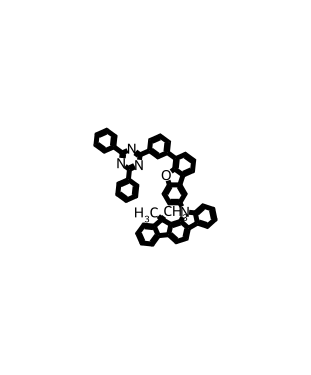 CC1(C)c2ccccc2-c2ccc3c4ccccc4n(-c4ccc5oc6c(-c7cccc(-c8nc(-c9ccccc9)nc(-c9ccccc9)n8)c7)cccc6c5c4)c3c21